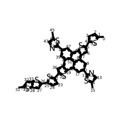 Cc1ccc(-c2cc3c4cc(-c5ncc(C)s5)cc5c6sc(-c7ccc(-c8cc9sc(C)cc9s8)s7)cc6c6cc(-c7ncc(C)s7)cc(c3s2)c6c45)s1